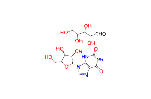 O=CC(O)C(O)C(O)CO.O=c1[nH]c(=O)c2ncn([C@@H]3O[C@H](CO)[C@@H](O)[C@H]3O)c2[nH]1